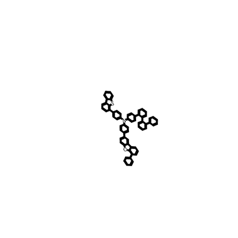 c1ccc(-c2ccccc2-c2ccccc2-c2ccc(N(c3ccc(-c4ccc5oc6c(-c7ccccc7)cccc6c5c4)cc3)c3ccc(-c4cccc5c4sc4ccccc45)cc3)cc2)cc1